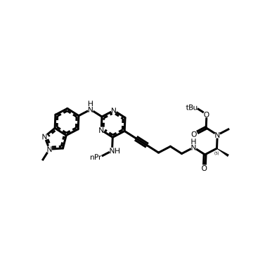 CCCNc1nc(Nc2ccc3nn(C)cc3c2)ncc1C#CCCCNC(=O)[C@H](C)N(C)C(=O)OC(C)(C)C